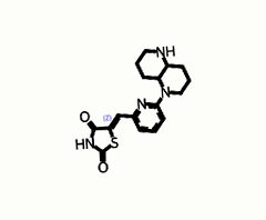 O=C1NC(=O)/C(=C/c2cccc(N3CCCC4NCCCC43)n2)S1